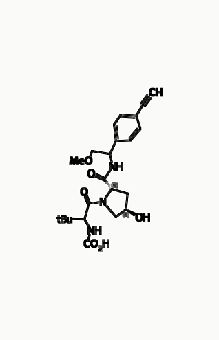 C#Cc1ccc(C(COC)NC(=O)[C@@H]2C[C@@H](O)CN2C(=O)C(NC(=O)O)C(C)(C)C)cc1